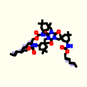 C/C=C/C=C/COC(=O)NC1CC(C)(C)CC(C)(Cn2c(=O)n(CC3(C)CC(NC(=O)OC/C=C/C=C/C)CC(C)(C)C3)c(=O)n(CC3(C)CC(NC(=O)OC/C=C/C=C/C)CC(C)(C)C3)c2=O)C1